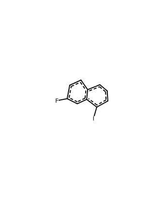 Fc1ccc2cccc(I)c2c1